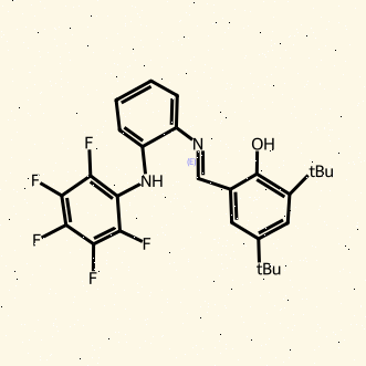 CC(C)(C)c1cc(/C=N/c2ccccc2Nc2c(F)c(F)c(F)c(F)c2F)c(O)c(C(C)(C)C)c1